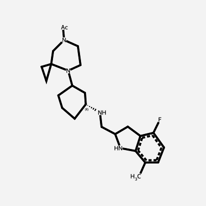 CC(=O)N1CCN(C2CCC[C@@H](NCC3Cc4c(F)ccc(C)c4N3)C2)C2(CC2)C1